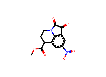 COC(=O)C1CCN2C(=O)C(=O)c3cc([N+](=O)[O-])cc1c32